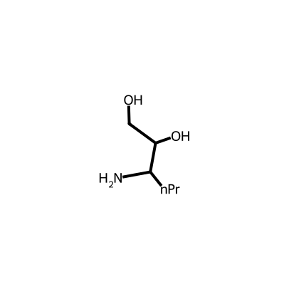 CCCC(N)C(O)CO